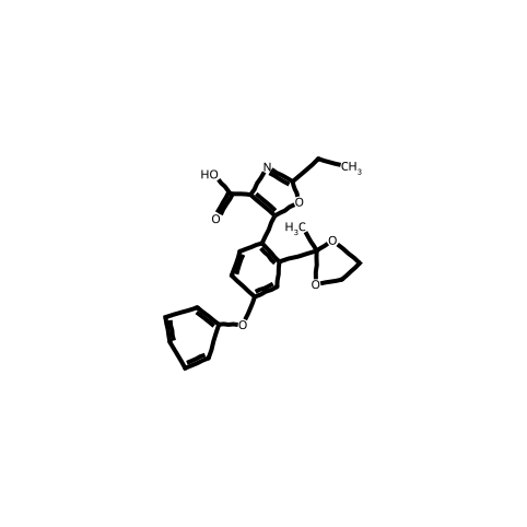 CCc1nc(C(=O)O)c(-c2ccc(Oc3ccccc3)cc2C2(C)OCCO2)o1